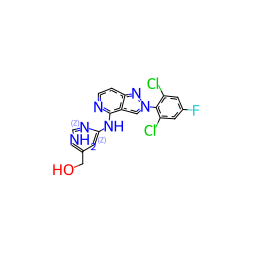 C=C(/C=C(\N=C/N)Nc1nccc2nn(-c3c(Cl)cc(F)cc3Cl)cc12)CO